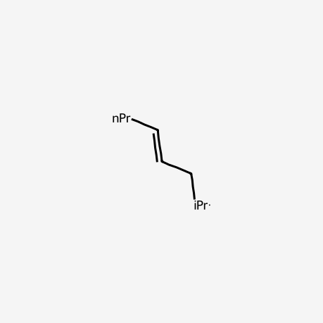 CCC/C=C/C[C](C)C